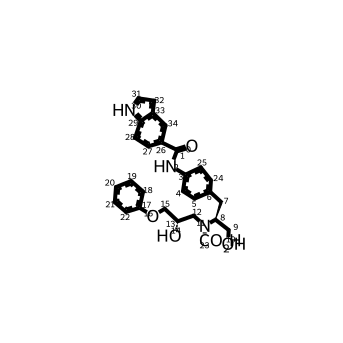 O=C(Nc1ccc(C[C@@H](CO)N(C[C@H](O)COc2ccccc2)C(=O)O)cc1)c1ccc2[nH]ccc2c1